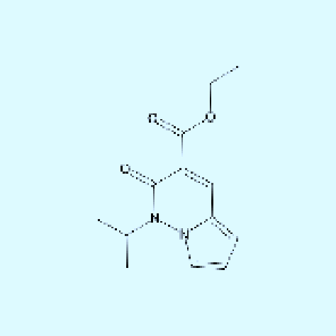 CCOC(=O)c1cc2cccn2n(C(C)C)c1=O